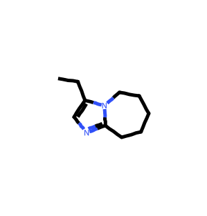 CCc1cnc2n1CCCCC2